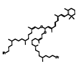 CC(C=CC1=C(C)CCCC1(C)C)=CC=CC(C)=CC(OCC=C(C)CCCC(C)CCCC(C)CCCC(C)C)OCC=C(C)CCCC(C)CCCC(C)CCCC(C)C